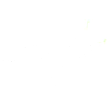 CC(=O)C(c1ccccc1)(c1ccc(C(F)(F)F)cc1)c1ccc(F)c(F)c1